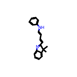 CC1(C)C(C=CC=CNc2ccccc2)=Nc2ccccc21